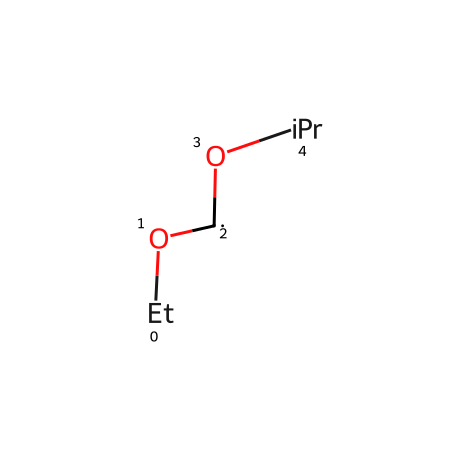 CCO[CH]OC(C)C